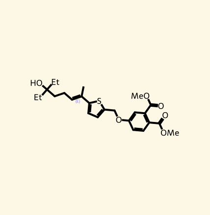 CCC(O)(CC)CC/C=C(\C)c1ccc(COc2ccc(C(=O)OC)c(C(=O)OC)c2)s1